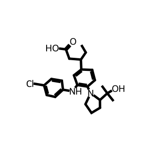 CCC(CC(=O)O)c1ccc(N2CCCC2C(C)(C)O)c(Nc2ccc(Cl)cc2)c1